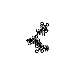 CCN1CCN(C(=O)N[C@@H](C(=O)N[C@@H]2C(=O)N3C(C(=O)OC(c4ccccc4)c4ccccc4)=C(CSc4nnnn4C)CS[C@H]23)c2ccc(CNC(=O)OCC(NC(=O)OC(C)(C)C)C(=O)OC(c3ccccc3)c3ccccc3)cc2)C(=O)C1=O